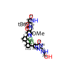 COc1nc(-c2cccc(-c3cccc(-c4cc5c(=O)n(C)c(CNCCO)nn5c4)c3Cl)c2Cl)ccc1CN(C[C@@H]1CCC(=O)N1)C(=O)OC(C)(C)C